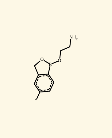 NCCOB1OCc2cc(F)ccc21